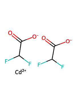 O=C([O-])C(F)F.O=C([O-])C(F)F.[Cd+2]